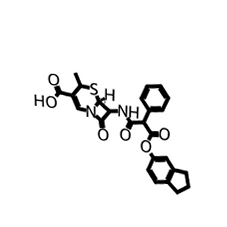 CC1S[C@@H]2C(NC(=O)C(C(=O)Oc3ccc4c(c3)CCC4)c3ccccc3)C(=O)N2C=C1C(=O)O